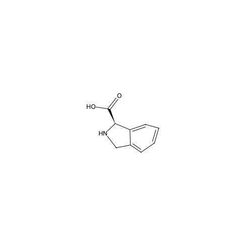 O=C(O)[C@@H]1NCc2ccccc21